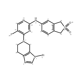 CC(C)n1cnc2c1CN(c1nc(Nc3ccc4c(c3)CS(=O)(=O)C4)ncc1F)CC2